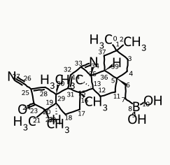 CC1(C)CC[C@]2(CCB(O)O)CC[C@@]3(C)[C@]4(C)CC[C@H]5C(C)(C)C(=O)C(C#N)=C[C@]5(C)C4=CC4=N[C@]43[C@@H]2C1